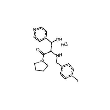 Cl.O=C(C(NCc1ccc(I)cc1)C(O)c1ccncc1)N1CCCC1